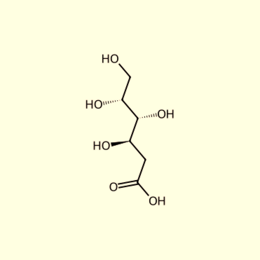 O=C(O)C[C@@H](O)[C@@H](O)[C@H](O)CO